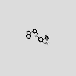 O=C(O)c1ccc(NCc2cccc(-n3cnc4ccccc43)c2)cc1-c1ncc[nH]1